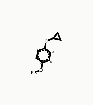 CCOc1[c]cc(OC2CC2)cc1